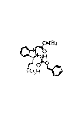 CC(C)(C)OC(=O)CN1c2ccccc2[C@H](CCC(=O)O)N1NC(=O)OCc1ccccc1